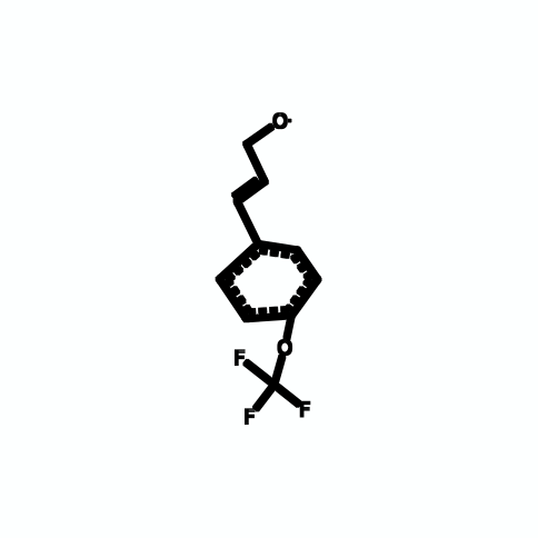 [O]CC=Cc1ccc(OC(F)(F)F)cc1